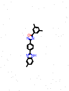 Cc1cc(C)cc(-c2nc(-c3ccc(-c4nc5cc(C)ccc5[nH]4)cc3)no2)c1